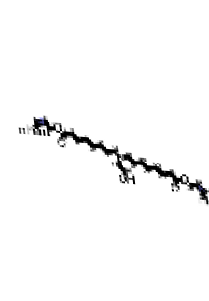 CCCCC/C=C\COC(=O)CCCCCCCN(CCO)CCCCCCCC(=O)OC/C=C\CCCCCC